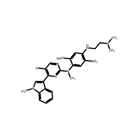 COc1cc(NCCN(C)C)c([N+](=O)[O-])cc1N(C)c1ncc(Cl)c(-c2cn(C)c3ccccc23)n1